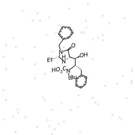 CC[C@H]1N[C@@H]([C@@H](O)[C@H](Cc2ccccc2)N(C(=O)O)C(C)(C)C)C(=O)N1Cc1ccccc1